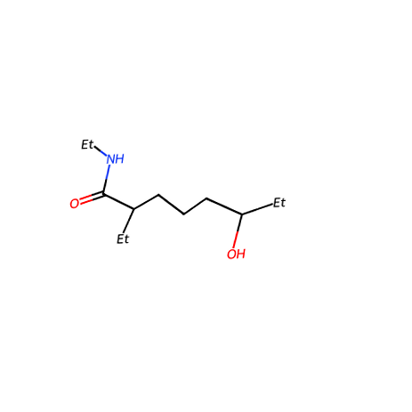 CCNC(=O)C(CC)CCCC(O)CC